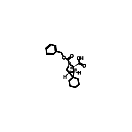 O=C(O)[C@@H]1[C@@H]2[C@H](CN1C(=O)OCc1ccccc1)C21CCCCC1